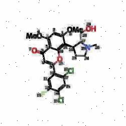 COc1cc(OC)c2c(=O)cc(-c3cc(F)c(Cl)cc3Cl)oc2c1[C@@H]1CCN(C)[C@H]1CO